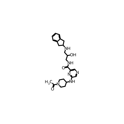 CC(=O)N1CCC(Nc2cncc(C(=O)NCC(O)CNC3Cc4ccccc4C3)n2)CC1